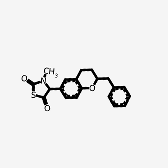 CN1C(=O)SC(=O)C1c1ccc2c(c1)CCC(Cc1ccccc1)O2